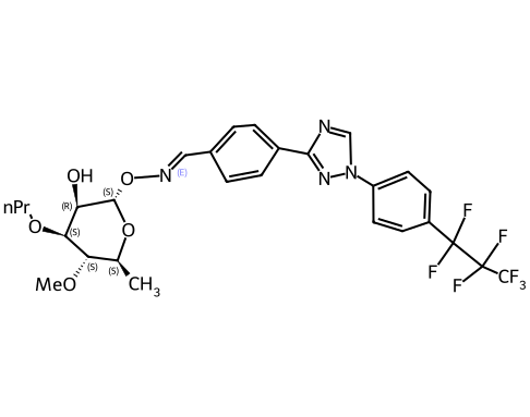 CCCO[C@H]1[C@@H](O)[C@H](O/N=C/c2ccc(-c3ncn(-c4ccc(C(F)(F)C(F)(F)C(F)(F)F)cc4)n3)cc2)O[C@@H](C)[C@@H]1OC